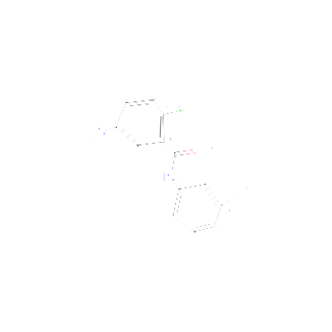 Nc1ccc(Cl)c(C(=O)Nc2cccc(I)c2)c1